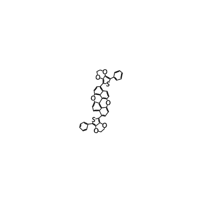 c1ccc(-c2sc(-c3ccc4oc5ccc6c(-c7sc(-c8ccccc8)c8c7OCCO8)ccc7oc8ccc3c4c8-c5c76)c3c2OCCO3)cc1